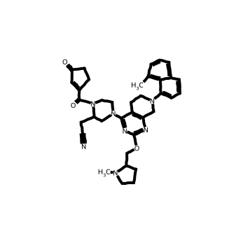 Cc1cccc2cccc(N3CCc4c(nc(OCC5CCCN5C)nc4N4CCN(C(=O)C5=CC(=O)CC5)C(CC#N)C4)C3)c12